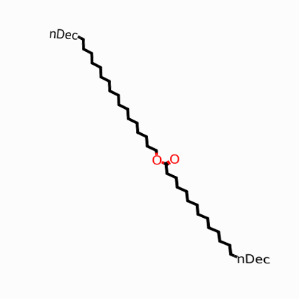 CCCCCCCCCCCCCCCCCCCCCCCCCCCOC(=O)CCCCCCCCCCCCCCCCCCCCCCC